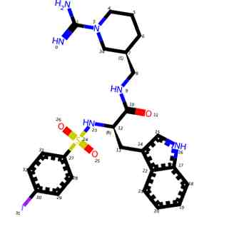 N=C(N)N1CCC[C@@H](CNC(=O)[C@@H](Cc2c[nH]c3ccccc23)NS(=O)(=O)c2ccc(I)cc2)C1